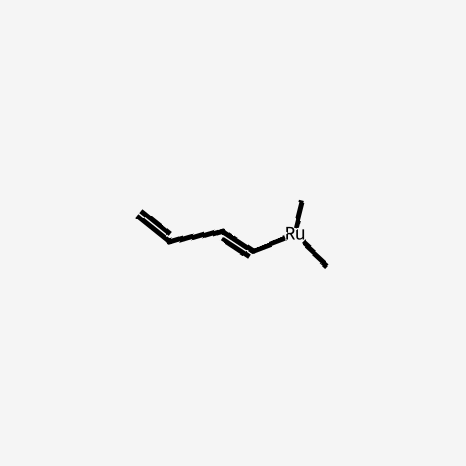 C=C/C=[CH]/[Ru]([CH3])[CH3]